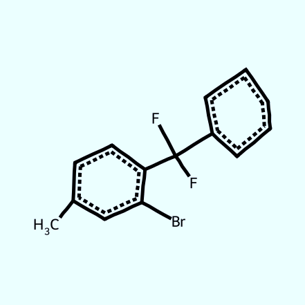 Cc1ccc(C(F)(F)c2ccccc2)c(Br)c1